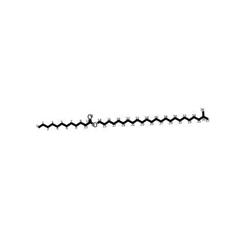 CCCCCCCCCCCC(=O)OCCCCCCCCCCCCCCCCCCCCCCC(C)C